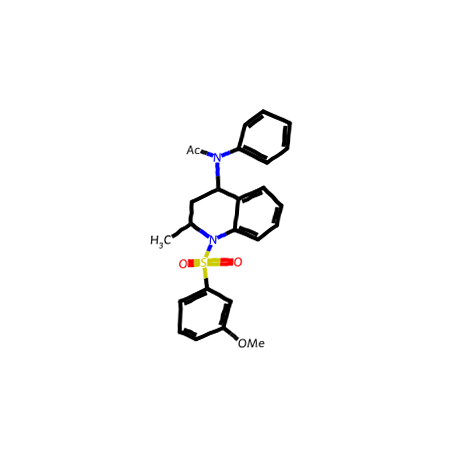 COc1cccc(S(=O)(=O)N2c3ccccc3C(N(C(C)=O)c3ccccc3)CC2C)c1